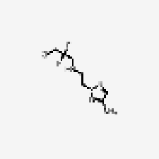 Cc1cnn(CCNCC(F)(F)CCl)n1